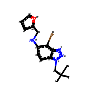 CC(C)(C)Cn1nnc2c(Br)c(NCc3ccco3)ccc21